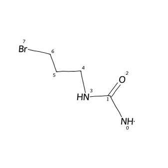 [NH]C(=O)NCCCBr